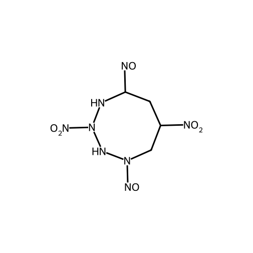 O=NC1CC([N+](=O)[O-])CN(N=O)NN([N+](=O)[O-])N1